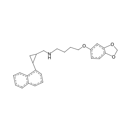 c1ccc2c(C3CC3CNCCCCOc3ccc4c(c3)OCO4)cccc2c1